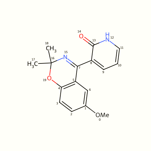 COc1ccc2c(c1)C(c1ccc[nH]c1=O)=NC(C)(C)O2